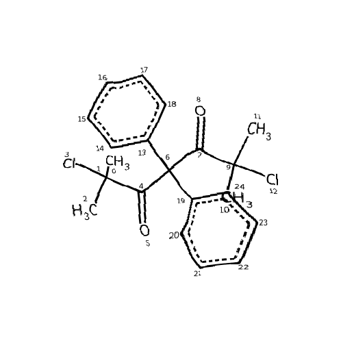 CC(C)(Cl)C(=O)C(C(=O)C(C)(C)Cl)(c1ccccc1)c1ccccc1